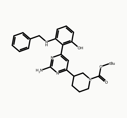 CC(C)(C)OC(=O)N1CCCC(c2cc(-c3c(O)cccc3NCc3ccccc3)nc(N)n2)C1